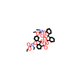 CCOC(=O)N(CC)COc1ccccc1C(=O)c1ccccc1C(=O)OOC(=O)c1ccccc1C(=O)c1ccccc1OCN(CC)C(=O)OCC